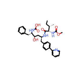 CC[C@H](C)[C@H](NC(=O)OC)C(=O)N[C@@H](Cc1ccc(-c2ccccn2)cc1)C[C@@H](O)[C@H](Cc1ccccc1)NC(=O)O